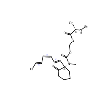 CCN[C@H](C(=O)OCOC(=O)N(C)[C@]1(/C=C/C=C\C=C\Cl)CCCCC1=O)C(C)C